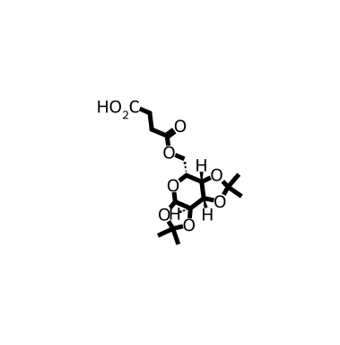 CC1(C)O[C@@H]2[C@H](O1)[C@H]1OC(C)(C)OC1O[C@@H]2COC(=O)CCC(=O)O